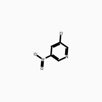 O=[N+]([O-])c1[c]c(Cl)cnc1